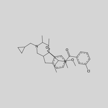 CCC(C1COC2(C)C(C)N(CC3CC3)CC3Cc4ccc(OC)cc4C312)N(C)C(=O)c1cccc(Cl)c1